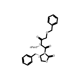 CCCCC[C@H](C(=O)COCc1ccccc1)C(=O)N1C(=O)OC[C@@H]1Cc1ccccc1